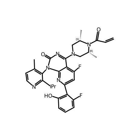 C=CC(=O)N1[C@H](C)CN(c2nc(=O)n(-c3c(C)ccnc3C(C)C)c3nc(-c4c(O)cccc4F)cc(F)c23)C[C@@H]1C